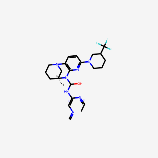 C=N/C=C(\N=C/C)NC(O)N1c2nc(N3CCCC(C(F)(F)F)C3)ccc2N2CCC[C@H]1C2